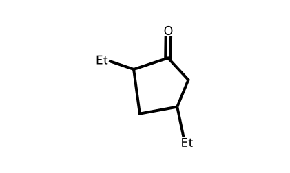 CCC1CC(=O)C(CC)C1